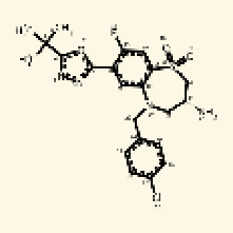 CC(C)(C)c1nnc(-c2cc3c(cc2F)S(=O)(=O)C[C@H](N)CN3Cc2ccc(Cl)cc2)o1